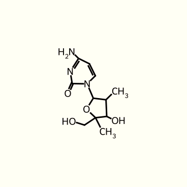 CC1C(n2ccc(N)nc2=O)OC(C)(CO)C1O